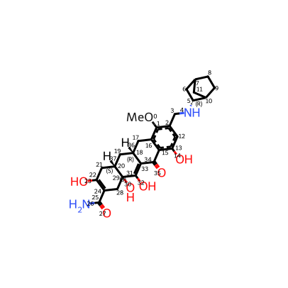 COc1c(CN[C@@H]2CC3CCC2C3)cc(O)c2c1C[C@H]1C[C@H]3CC(O)=C(C(N)=O)C[C@@]3(O)C(O)=C1C2=O